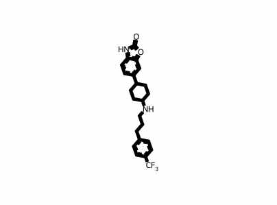 O=c1[nH]c2ccc(C3CCC(NCCCc4ccc(C(F)(F)F)cc4)CC3)cc2o1